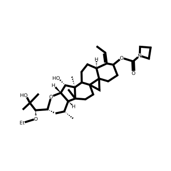 C/C=C1/C(OC(=O)N2CCC2)CCC23CC24CCC2(C)[C@@H]5[C@H](O[C@@H]([C@H](OCC)C(C)(C)O)C[C@H]5C)[C@H](O)[C@@]2(C)C4CC[C@@H]13